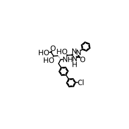 O=C(O)[C@H](O)C[C@@H](Cc1ccc(-c2cccc(Cl)c2)cc1)NC(O)c1nn(-c2ccccc2)c(=O)[nH]1